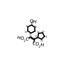 O=C(O)C(=C(C(=O)O)[C@H]1CC[C@@H](O)CC1)C1CCCC1